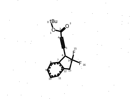 CC(C)(C)OC(=O)C#CC1c2ccccc2CC1(F)F